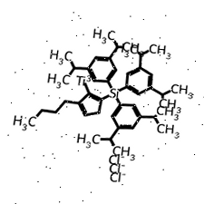 CCCCC1=CCC([Si](c2cc(C(C)C)cc(C(C)C)c2)(c2cc(C(C)C)cc(C(C)C)c2)c2cc(C(C)C)cc(C(C)C)c2)=[C]1[Ti+3].[Cl-].[Cl-].[Cl-]